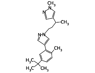 Cc1ccc(C(C)(C)C)cc1-c1cnn(CCC(C)c2cnn(C)c2)c1